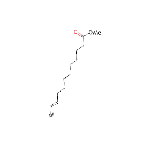 CCCC=CCCCCCCCCC(=O)OC